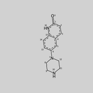 O=c1ccc2cc(N3CCNCC3)ccc2[nH]1